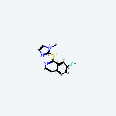 Cn1ccnc1Sc1nccc2ccc(F)cc12